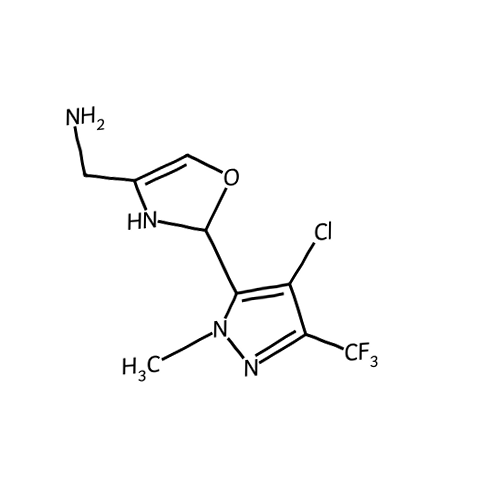 Cn1nc(C(F)(F)F)c(Cl)c1C1NC(CN)=CO1